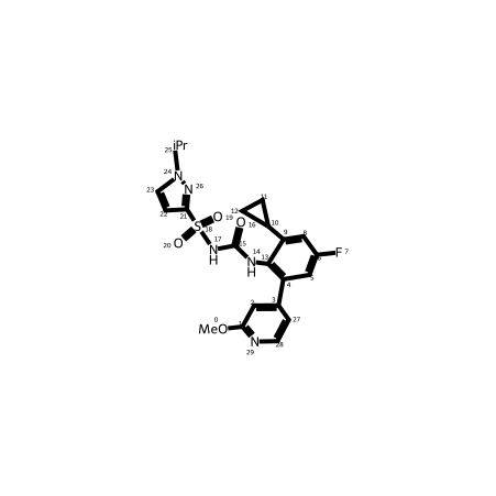 COc1cc(-c2cc(F)cc(C3CC3)c2NC(=O)NS(=O)(=O)c2ccn(C(C)C)n2)ccn1